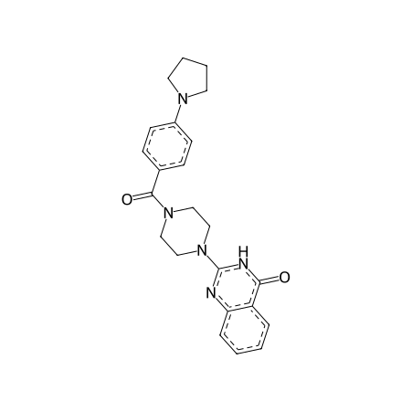 O=C(c1ccc(N2CCCC2)cc1)N1CCN(c2nc3ccccc3c(=O)[nH]2)CC1